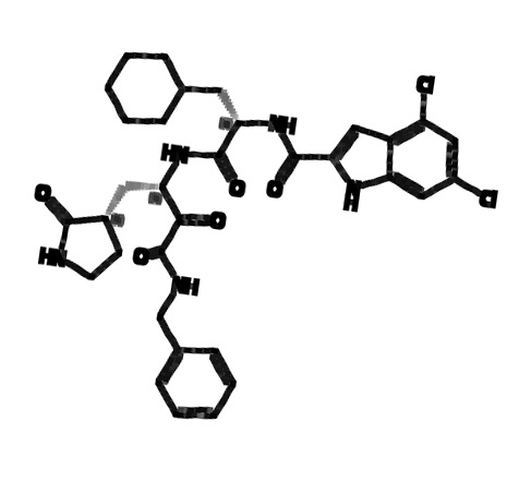 O=C(NCc1ccccc1)C(=O)[C@H](C[C@@H]1CCNC1=O)NC(=O)[C@H](CC1CCCCC1)NC(=O)c1cc2c(Cl)cc(Cl)cc2[nH]1